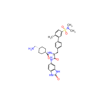 Cc1ccc(S(=O)(=O)N(C)C)cc1-c1ccc(C[C@H](NC(=O)[C@H]2CC[C@H](CN)CC2)C(=O)Nc2ccc3[nH]c(=O)[nH]c3c2)cc1